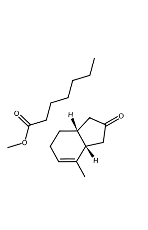 CC1=CCC[C@@H]2CC(=O)C[C@H]12.CCCCCCC(=O)OC